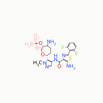 BC(B)(B)O[C@H]1CO[C@@H](c2c(NC(=O)c3nc(-c4c(F)cccc4F)sc3N)cnn2C)CC[C@@H]1N